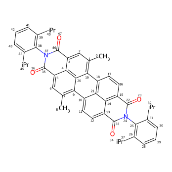 Cc1cc2c3c(cc(C)c4c5ccc6c7c(ccc(c1c34)c75)C(=O)N(c1c(C(C)C)cccc1C(C)C)C6=O)C(=O)N(c1c(C(C)C)cccc1C(C)C)C2=O